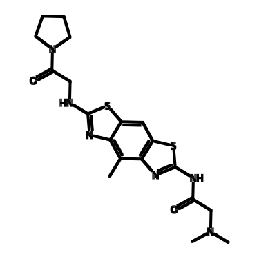 Cc1c2nc(NCC(=O)N3CCCC3)sc2cc2sc(NC(=O)CN(C)C)nc12